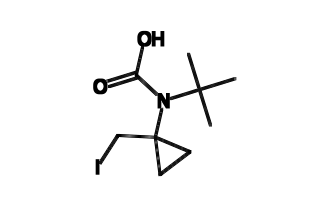 CC(C)(C)N(C(=O)O)C1(CI)CC1